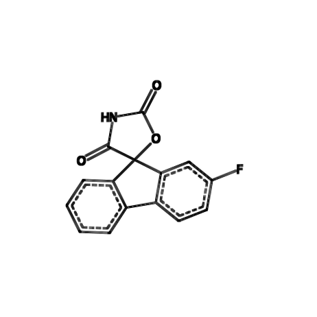 O=C1NC(=O)C2(O1)c1ccccc1-c1ccc(F)cc12